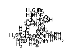 CC(C)C[C@H](NC(=O)[C@H](C)N)C(=O)N[C@@H](CS)C(=O)N[C@@H](Cc1c[nH]c2ccccc12)C(=O)N[C@@H](CCCNC(=N)N)C(=O)N[C@H](C(=O)N1CCC[C@H]1C(=O)N[C@@H](CS)C(=O)N[C@H](C(N)=O)[C@@H](C)O)C(C)C